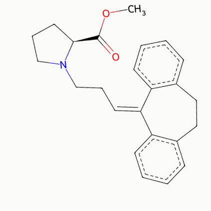 COC(=O)[C@@H]1CCCN1CCC=C1c2ccccc2CCc2ccccc21